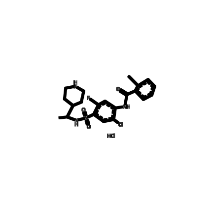 Cc1ccccc1C(=O)Nc1cc(F)c(S(=O)(=O)NC(C)C2CCNCC2)cc1Cl.Cl